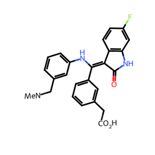 CNCc1cccc(NC(=C2C(=O)Nc3cc(F)ccc32)c2cccc(CC(=O)O)c2)c1